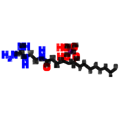 CCCCCCCCC(CCCCC(=O)NCCNC(=N)N)OP(=O)(O)O